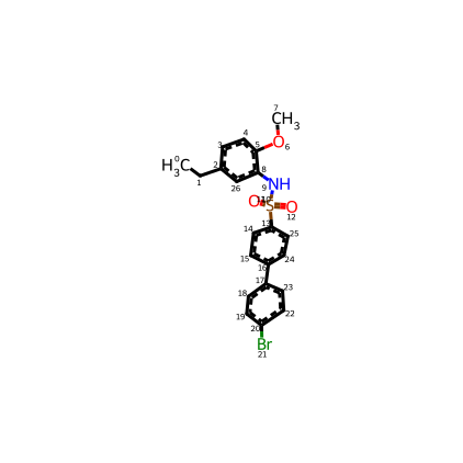 CCc1ccc(OC)c(NS(=O)(=O)c2ccc(-c3ccc(Br)cc3)cc2)c1